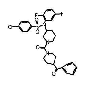 O=C(c1ccccc1)C1CCN(C(=O)N2CCCC(N(c3cc(F)ccc3F)S(=O)(=O)c3ccc(Cl)cc3)C2)CC1